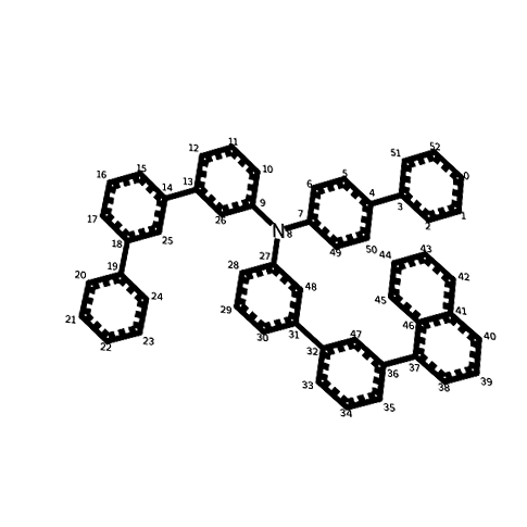 c1ccc(-c2ccc(N(c3cccc(-c4cccc(-c5ccccc5)c4)c3)c3cccc(-c4cccc(-c5cccc6ccccc56)c4)c3)cc2)cc1